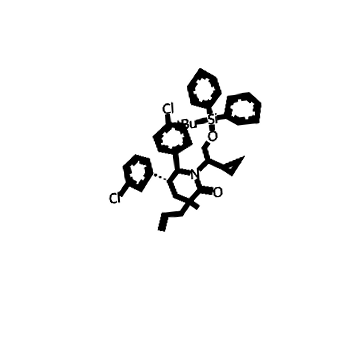 C=CCC1(C)C[C@H](c2cccc(Cl)c2)C(c2ccc(Cl)cc2)N(C(CO[Si](c2ccccc2)(c2ccccc2)C(C)(C)C)C2CC2)C1=O